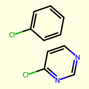 Clc1ccccc1.Clc1ccncn1